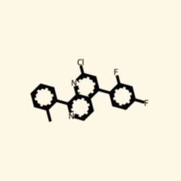 Cc1ccccc1-c1nccc2c(-c3ccc(F)cc3F)cc(Cl)nc12